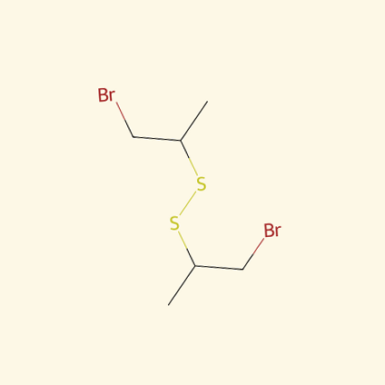 CC(CBr)SSC(C)CBr